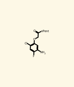 CCCCCC(=O)COc1cc(N)c(F)cc1Cl